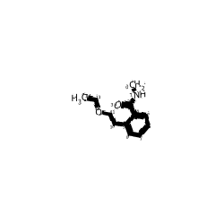 [CH2]NC(=O)c1ccccc1CCOCC